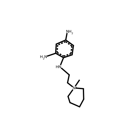 C[N+]1(CCNc2ccc(N)cc2N)CCCCC1